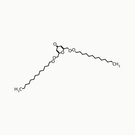 CCCCCCCCCCCCCOOCc1cc(=O)cc(COOCCCCCCCCCCCCC)o1